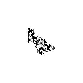 COc1ncnc(OC)c1-n1c(NS(=O)(=O)[C@@H](C)[C@@H](OC(C)C)c2cnc(C)cn2)nnc1-c1ccn(C)n1